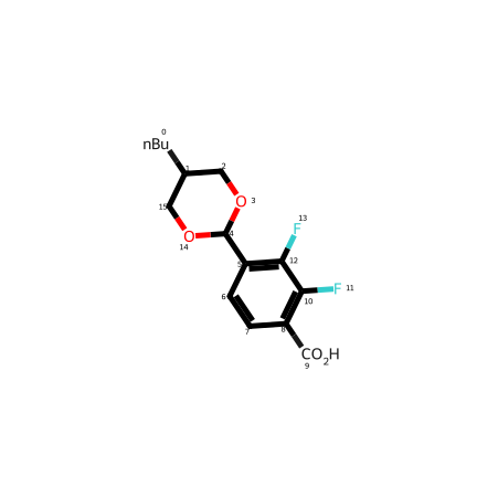 CCCCC1COC(c2ccc(C(=O)O)c(F)c2F)OC1